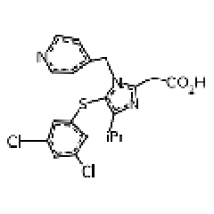 CC(C)c1nc(CC(=O)O)n(Cc2ccncc2)c1Sc1cc(Cl)cc(Cl)c1